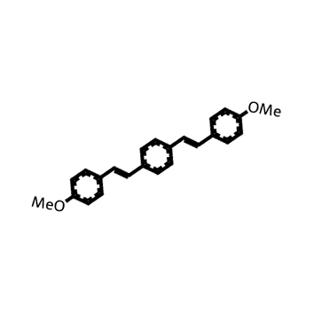 COc1ccc(/C=C/c2ccc(/C=C/c3ccc(OC)cc3)cc2)cc1